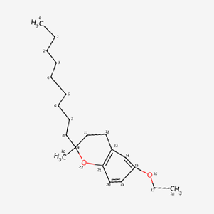 CCCCCCCCCC1(C)CCc2cc(OCC)ccc2O1